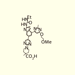 CCNC(=O)Nc1nc2cc(-c3cnc(N4CCC(C)(C(=O)O)CC4)nc3)cc(-c3cc(OCCOC)nc(C)n3)c2s1